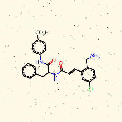 NCc1ccc(Cl)cc1C=CC(=O)NC(Cc1ccccc1)C(=O)Nc1ccc(C(=O)O)cc1